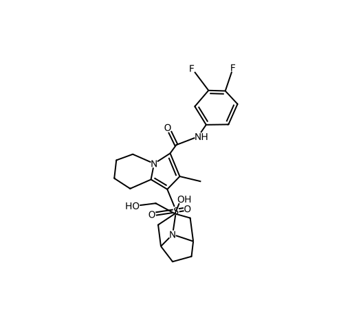 Cc1c(S(=O)(=O)N2C3CCC2CC(O)(CO)C3)c2n(c1C(=O)Nc1ccc(F)c(F)c1)CCCC2